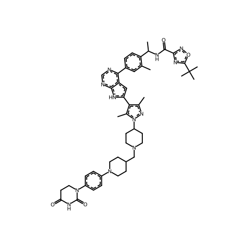 Cc1cc(-c2ncnc3[nH]c(-c4c(C)nn(C5CCN(CC6CCN(c7ccc(N8CCC(=O)NC8=O)cc7)CC6)CC5)c4C)cc23)ccc1C(C)NC(=O)c1noc(C(C)(C)C)n1